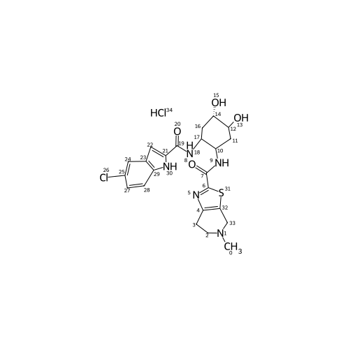 CN1CCc2nc(C(=O)NC3CC(O)[C@@H](O)CC3NC(=O)c3cc4cc(Cl)ccc4[nH]3)sc2C1.Cl